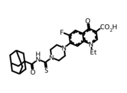 CCn1cc(C(=O)O)c(=O)c2cc(F)c(N3CCN(C(=S)NC(=O)C45CC6CC(CC(C6)C4)C5)CC3)cc21